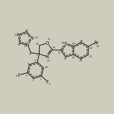 Fc1cc(F)cc(C2(Cn3cncn3)COC(c3cc4ccc(Br)cc4s3)=N2)c1